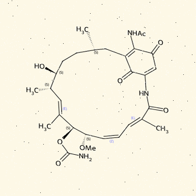 CO[C@H]1/C=C\C=C(/C)C(=O)NC2=CC(=O)C(NC(C)=O)=C(C[C@@H](C)CC[C@H](O)[C@@H](C)/C=C(\C)[C@@H]1OC(N)=O)C2=O